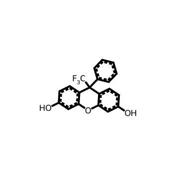 Oc1ccc2c(c1)Oc1cc(O)ccc1C2(c1ccccc1)C(F)(F)F